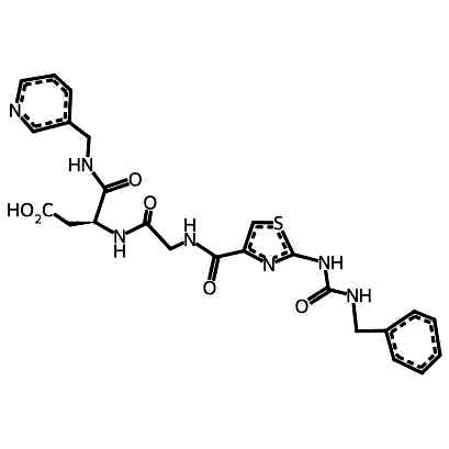 O=C(O)C[C@H](NC(=O)CNC(=O)c1csc(NC(=O)NCc2ccccc2)n1)C(=O)NCc1cccnc1